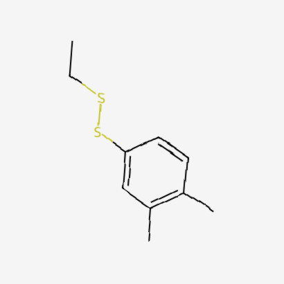 CCSSc1ccc(C)c(C)c1